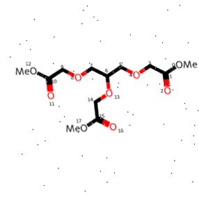 COC(=O)COCC(COCC(=O)OC)OCC(=O)OC